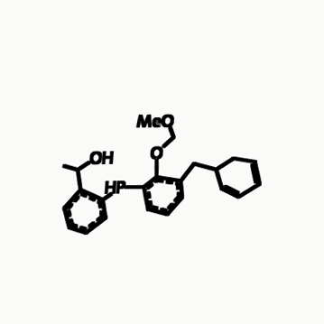 COCOc1c(CC2C=CC=CC2)cccc1Pc1ccccc1C(C)O